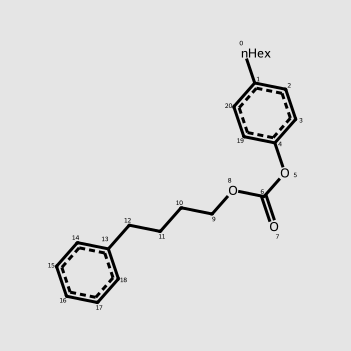 CCCCCCc1ccc(OC(=O)OCCCCc2ccccc2)cc1